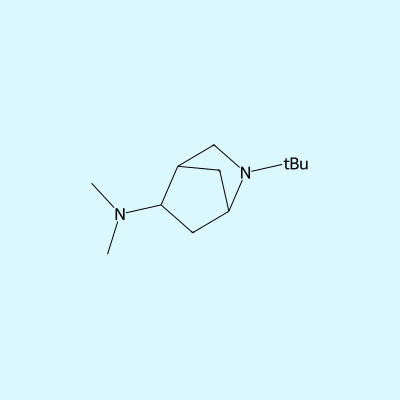 CN(C)C1CC2CC1CN2C(C)(C)C